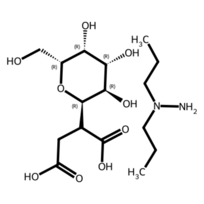 CCCN(N)CCC.O=C(O)CC(C(=O)O)[C@H]1O[C@H](CO)[C@H](O)[C@H](O)[C@H]1O